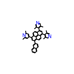 Cc1cc(-c2cc(-c3ccc4ccccc4c3)c3ccc4c(-c5c(C)cncc5C)cc(-c5c(C)cncc5C)c5ccc2c3c54)cc(C)n1